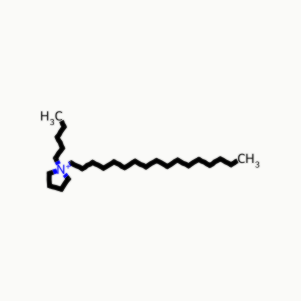 CCCCCCCCCCCCCCCCC[N+]1(CCCCC)CCCC1